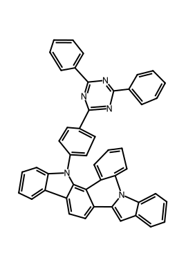 c1ccc(-c2nc(-c3ccccc3)nc(-c3ccc(-n4c5ccccc5c5ccc6c(c7ccccc7n7c8ccccc8cc67)c54)cc3)n2)cc1